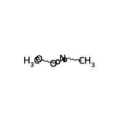 CCCCCCCc1ccc(-c2ccc(OCCCCCCOC)cc2)nc1